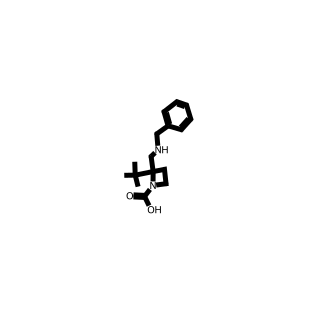 CC(C)(C)C1(CNCc2ccccc2)CCN1C(=O)O